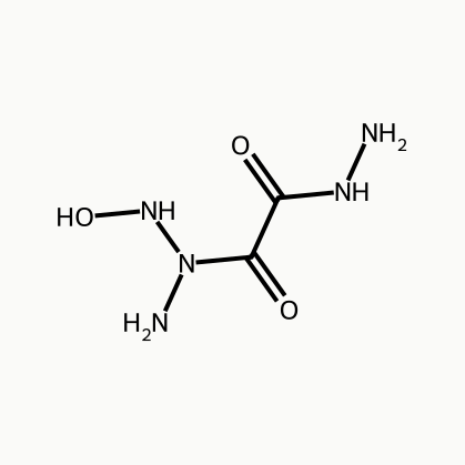 NNC(=O)C(=O)N(N)NO